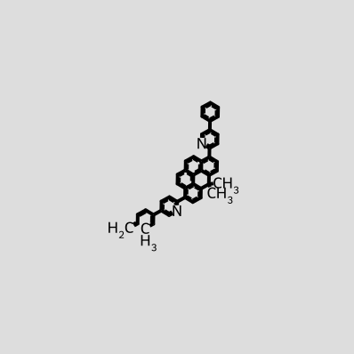 C=C/C=C\C(=C/C)c1ccc(-c2ccc3c4c2ccc2ccc5c(-c6ccc(-c7ccccc7)cn6)ccc(c5c24)C3(C)C)nc1